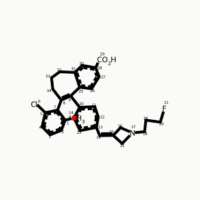 Cc1cccc(Cl)c1C1=C(c2ccc(C=C3CN(CCCF)C3)cc2)c2ccc(C(=O)O)cc2CCC1